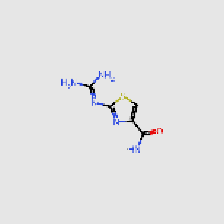 [NH]C(=O)c1csc(N=C(N)N)n1